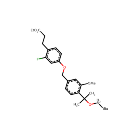 CCOC(=O)CCc1ccc(OCc2ccc(C(C)(C)O[SiH2]C(C)(C)C)c(OC)c2)cc1F